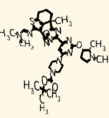 C[C@H]1[C@@H](Oc2nc(-c3noc([C@@]4(C)CCCc5sc(/N=C/N(C)C)c(C#N)c54)n3)cc(N3CCN(C(=O)OC(C)(C)C)CC3)n2)CCN1C